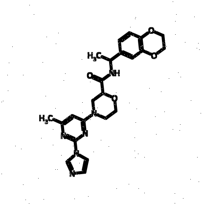 Cc1cc(N2CCOC(C(=O)NC(C)c3ccc4c(c3)OCCO4)C2)nc(-n2ccnc2)n1